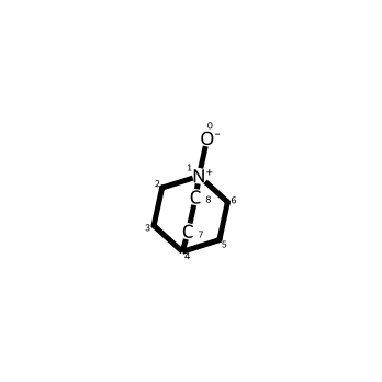 [O-][N+]12CCC(CC1)CC2